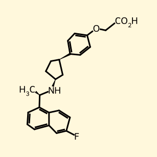 C[C@@H](N[C@H]1CC[C@@H](c2ccc(OCC(=O)O)cc2)C1)c1cccc2cc(F)ccc12